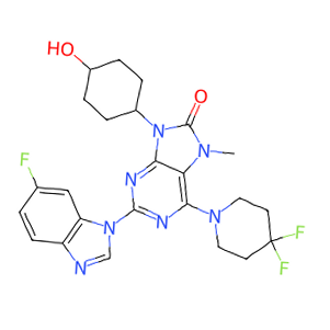 Cn1c(=O)n(C2CCC(O)CC2)c2nc(-n3cnc4ccc(F)cc43)nc(N3CCC(F)(F)CC3)c21